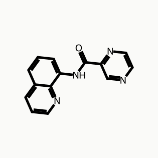 O=C(Nc1cccc2cccnc12)c1cnccn1